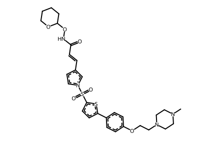 CN1CCN(CCOc2ccc(-c3ccc(S(=O)(=O)n4ccc(/C=C/C(=O)NOC5CCCCO5)c4)s3)cc2)CC1